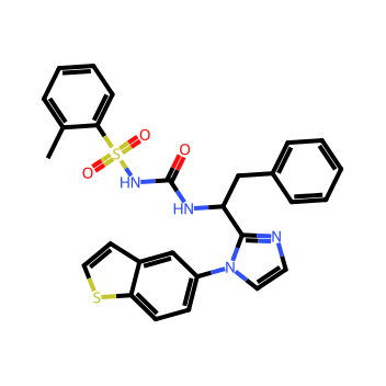 Cc1ccccc1S(=O)(=O)NC(=O)NC(Cc1ccccc1)c1nccn1-c1ccc2sccc2c1